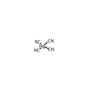 N#[C][Hg]([C]#N)([C]#N)[C]#N